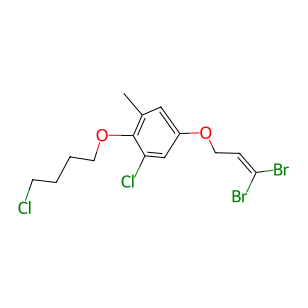 Cc1cc(OCC=C(Br)Br)cc(Cl)c1OCCCCCl